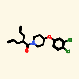 C=CCC(CC=C)C(=O)N1CCC(Oc2ccc(Cl)c(Cl)c2)CC1